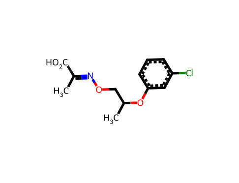 CC(=NOCC(C)Oc1cccc(Cl)c1)C(=O)O